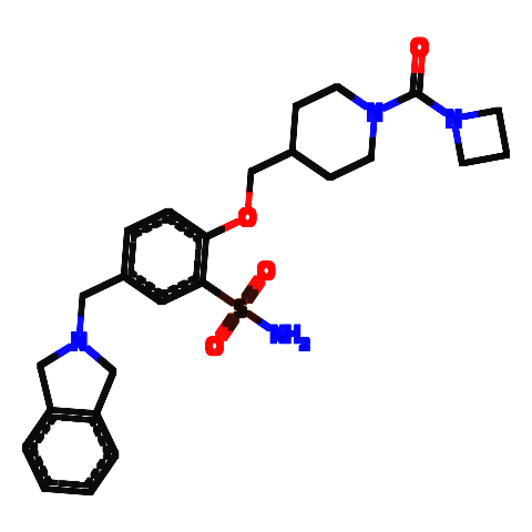 NS(=O)(=O)c1cc(CN2Cc3ccccc3C2)ccc1OCC1CCN(C(=O)N2CCC2)CC1